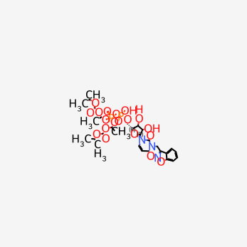 CC(C)OC(=O)OC(C)OP(=O)(OC(C)OC(=O)OC(C)C)OP(=O)(O)OC[C@H]1O[C@@H](n2ccc(=O)n(Cc3noc4ccccc34)c2=O)C(O)C1O